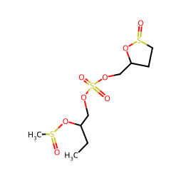 CCC(COS(=O)(=O)OCC1CCS(=O)O1)OS(C)=O